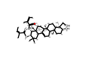 C/C=C(/C)C(=O)O[C@H]1[C@H](OC(=O)/C(C)=C\C)[C@@]2(CO)C(CC1(C)C)C1=CCC3[C@@]4(C)CC[C@H](O)[C@](C)(CO)C4CC[C@@]3(C)[C@]1(C)C[C@H]2O